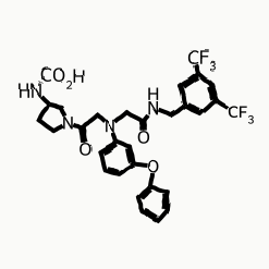 O=C(O)NC1CCN(C(=O)CN(CC(=O)NCc2cc(C(F)(F)F)cc(C(F)(F)F)c2)c2cccc(Oc3ccccc3)c2)C1